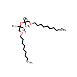 CCCCCCCCCCCCCCCCCCOCC(C)(C)OC(C)(C)COCCCCCCCCCCCCCCCCCC